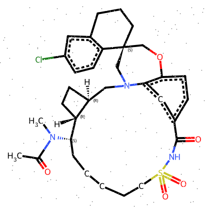 CC(=O)N(C)[C@H]1CCCCCS(=O)(=O)NC(=O)c2ccc3c(c2)N(C[C@@H]2CC[C@H]21)C[C@@]1(CCCc2cc(Cl)ccc21)CO3